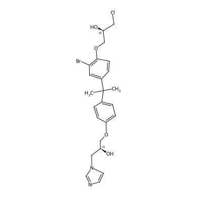 CC(C)(c1ccc(OC[C@@H](O)Cn2ccnc2)cc1)c1ccc(OC[C@@H](O)CCl)c(Br)c1